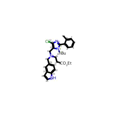 CCCCn1c(-c2ccccc2C)nc(Cl)c1CN(CCC(=O)OCC)Cc1ccc2[nH]ccc2c1